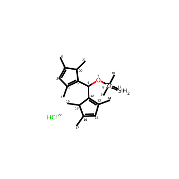 CC1=CC(C)=C(C([O][Zr]([CH3])([CH3])=[SiH2])C2=C(C)C=C(C)C2C)C1C.Cl